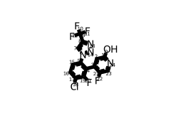 Oc1cc(-c2c(-n3cc(C(F)(F)F)nn3)ccc(Cl)c2F)c(F)cn1